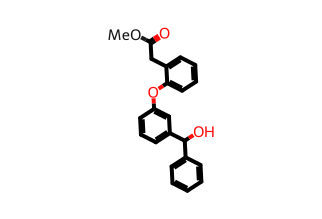 COC(=O)Cc1ccccc1Oc1cccc(C(O)c2ccccc2)c1